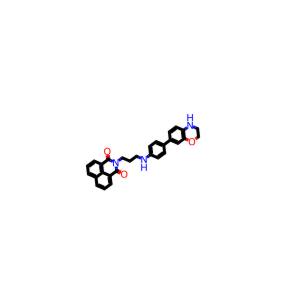 O=C1c2cccc3cccc(c23)C(=O)N1CCCNc1ccc(-c2ccc3c(c2)OCCN3)cc1